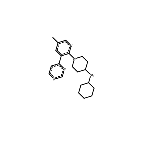 Cc1cnc(N2CCC(NC3CCCCC3)CC2)c(-c2ccncn2)c1